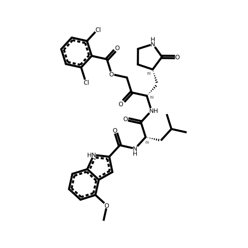 COc1cccc2[nH]c(C(=O)N[C@@H](CC(C)C)C(=O)N[C@@H](C[C@@H]3CCNC3=O)C(=O)COC(=O)c3c(Cl)cccc3Cl)cc12